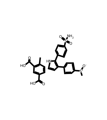 C[S+]([O-])c1ccc(-c2cc[nH]c2-c2ccc(S(N)(=O)=O)cc2)cc1.Cc1ccc(C(=O)O)cc1C(=O)O